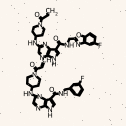 C=CC(=O)N1CCC(Nc2cnc3[nH]cc(C(=O)NCc4cccc(F)c4)c3n2)CC1.C=CC(=O)N1CCC(Nc2cnc3[nH]cc(C(=O)NCc4nc5cc(F)ccc5o4)c3n2)CC1